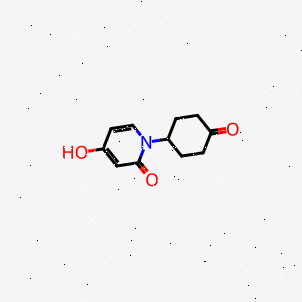 O=C1CCC(n2ccc(O)cc2=O)CC1